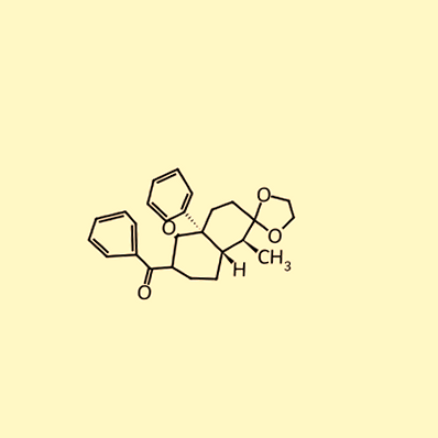 C[C@H]1[C@@H]2CCC(C(=O)c3ccccc3)C(=O)[C@@]2(c2ccccc2)CCC12OCCO2